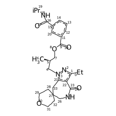 CCc1nn(C[C@@H](C)COC(=O)c2cccc(C(=O)NC(C)C)c2)c2c1C(=O)NCC1(CCOCC1)C2